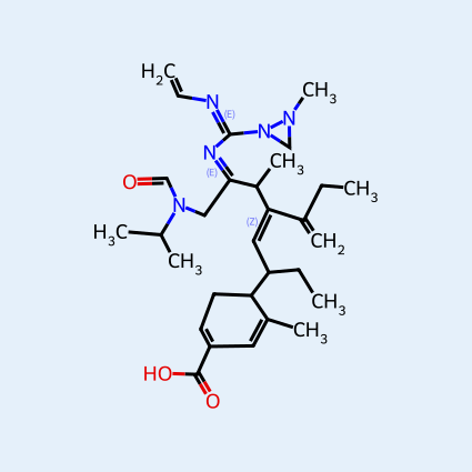 C=C/N=C(\N=C(\CN(C=O)C(C)C)C(C)/C(=C/C(CC)C1CC=C(C(=O)O)C=C1C)C(=C)CC)N1CN1C